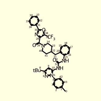 Cc1ccc(-n2nc(C(C)(C)C)cc2NC(=O)Nc2ccccc2CC2CCN(C(=O)c3nc(-c4ccccc4)oc3C(F)(F)F)CC2)cc1